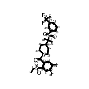 CCS(=O)(=O)c1cc(F)c(F)cc1C(=O)N1CCC(C(C)(C)S(=O)(=O)c2cccc(C(F)(F)F)c2)CC1